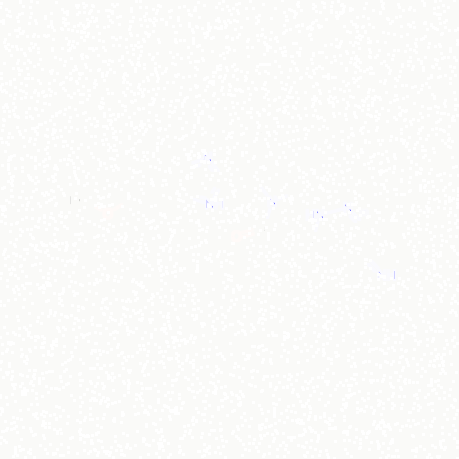 COc1ccc2nc(C3C(C)CCN3C(=O)c3cc(C)ccc3N/N=C\C=N)[nH]c2c1